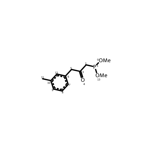 COP(CC(=O)Cc1cccc(C)c1)OC